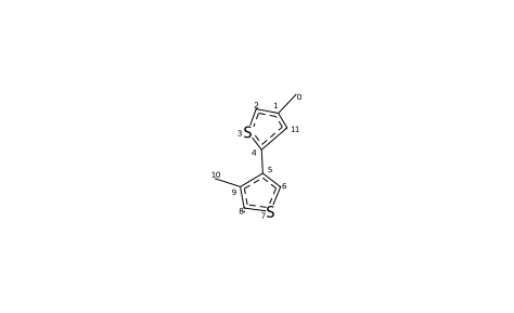 Cc1csc(-c2cs[c]c2C)c1